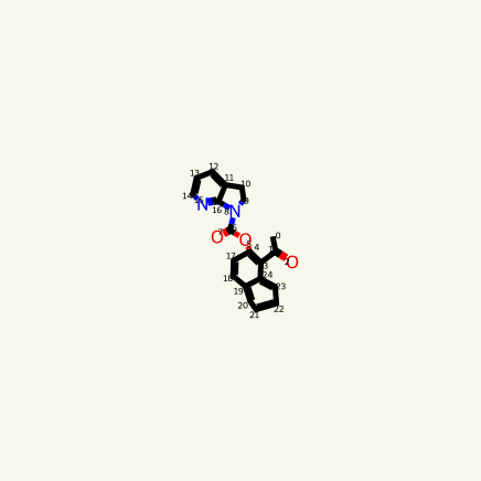 CC(=O)c1c(OC(=O)N2CCc3cccnc32)ccc2ccccc12